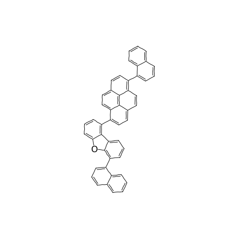 c1ccc2c(-c3ccc4ccc5c(-c6cccc7oc8c(-c9cccc%10ccccc9%10)cccc8c67)ccc6ccc3c4c65)cccc2c1